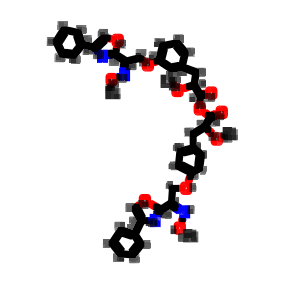 CCON=C(COc1ccc(CC(OCC)C(=O)OC(=O)C(Cc2cccc(OCC(=NOCC)c3nc(-c4ccccc4)co3)c2)OCC)cc1)c1nc(-c2ccccc2)co1